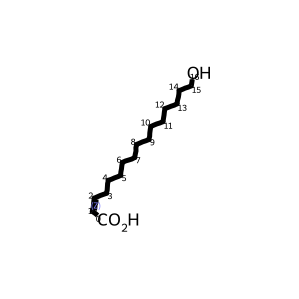 O=C(O)/C=C\CCCCCCCCCCCCCO